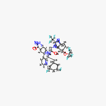 NC(=O)c1cccc(-c2cccnc2C(Cc2cc(F)cc(F)c2)NC(=O)Cn2c(C(F)(F)F)nc3ccc(OC(F)(F)F)cc32)c1